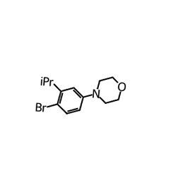 CC(C)c1cc(N2CCOCC2)ccc1Br